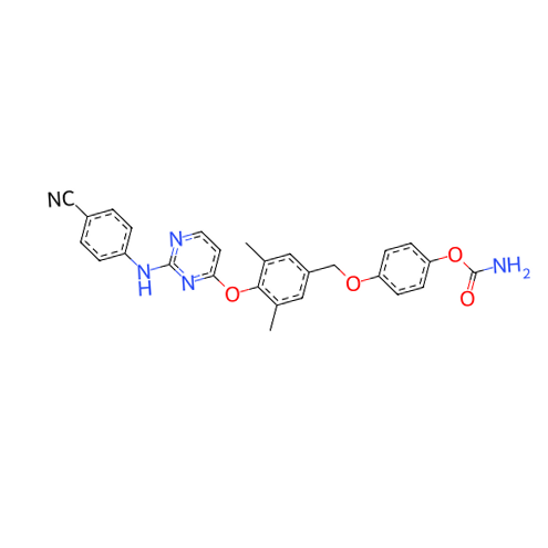 Cc1cc(COc2ccc(OC(N)=O)cc2)cc(C)c1Oc1ccnc(Nc2ccc(C#N)cc2)n1